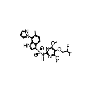 COc1nc(NS(=O)(=O)c2c[nH]c3c(-n4cccn4)c(C)ccc23)nc(OC)c1OCC(F)F